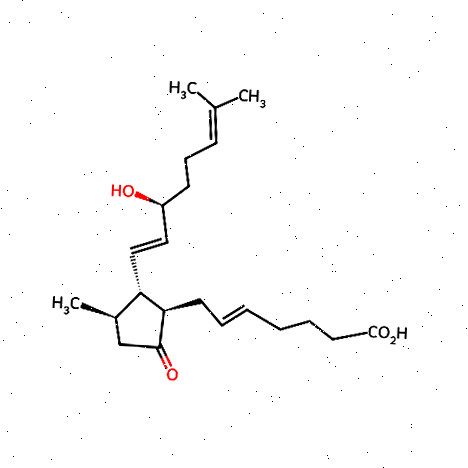 CC(C)=CCC[C@H](O)C=C[C@H]1[C@H](C)CC(=O)[C@@H]1CC=CCCCC(=O)O